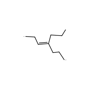 [CH2]CC=C(CC[CH2])CCC